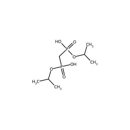 CC(C)OP(=O)(O)CP(=O)(O)OC(C)C